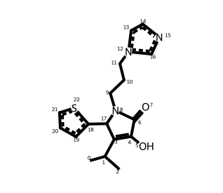 CC(C)C1=C(O)C(=O)N(CCCn2ccnc2)C1c1cccs1